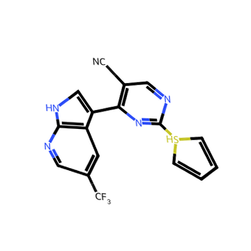 N#Cc1cnc([SH]2C=CC=C2)nc1-c1c[nH]c2ncc(C(F)(F)F)cc12